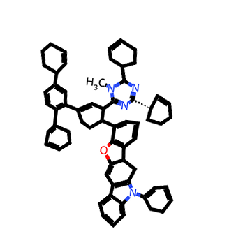 CN1C(C2C=C(c3cc(C4C=CCCC4)ccc3C3=CC=CCC3)CCC2c2cccc3c2OC2=Cc4c(n(C5=CC=CCC5)c5ccccc45)CC23)=NC([C@@H]2C=CCCC2)=NC1C1CC=CCC1